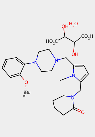 CC[C@@H](C)Oc1ccccc1N1CCN(Cc2ccc(CN3CCCCC3=O)n2C)CC1.O.O=C(O)C(O)C(O)C(=O)O